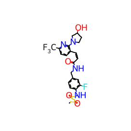 CS(=O)(=O)Nc1ccc(CNC(=O)/C=C\c2ccc(C(F)(F)F)nc2N2CCC(O)C2)cc1F